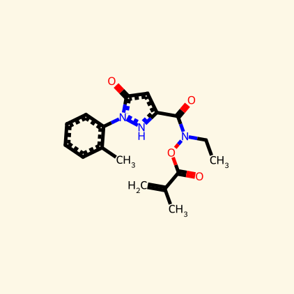 C=C(C)C(=O)ON(CC)C(=O)c1cc(=O)n(-c2ccccc2C)[nH]1